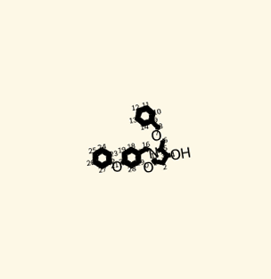 O=C1CC(O)C(COCc2ccccc2)N1Cc1ccc(Oc2ccccc2)cc1